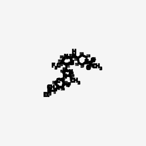 CCN(C)Cc1ccc(-n2cc(-c3nc(NC4CCN(S(C)(=O)=O)CC4)ncc3C(F)(F)F)nc2C)c(F)c1